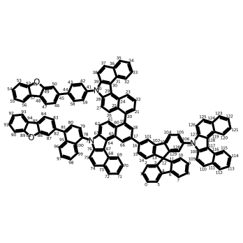 c1ccc2c(c1)-c1ccccc1C21c2ccc(-c3cc(-c4cccc5c4ccc4c5c5c6ccccc6ccc5n4-c4ccc(-c5ccc6c(c5)oc5ccccc56)cc4)c4ccc5c(c4c3)c3c4ccccc4ccc3n5-c3ccc(-c4ccc5c(c4)oc4ccccc45)c4ccccc34)cc2-c2ccc(-n3c4ccc5ccccc5c4c4c5ccccc5ccc43)cc21